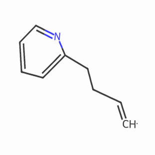 [CH]=CCCc1ccccn1